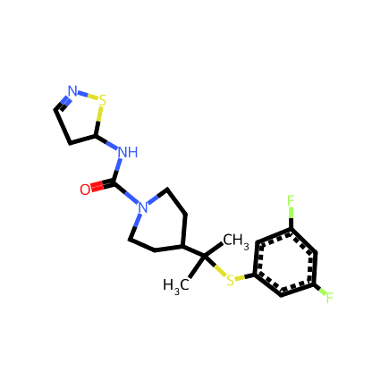 CC(C)(Sc1cc(F)cc(F)c1)C1CCN(C(=O)NC2CC=NS2)CC1